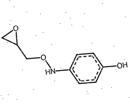 Oc1ccc(NOCC2CO2)cc1